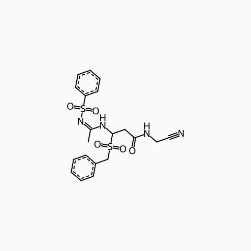 CC(=NS(=O)(=O)c1ccccc1)NC(CC(=O)NCC#N)S(=O)(=O)Cc1ccccc1